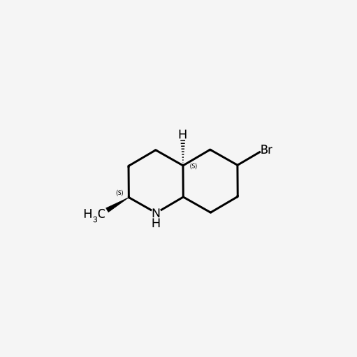 C[C@H]1CC[C@H]2CC(Br)CCC2N1